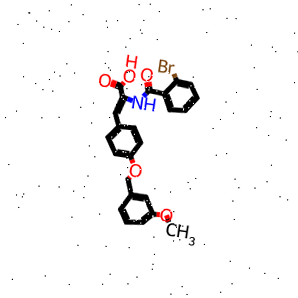 COc1cccc(COc2ccc(C=C(NC(=O)c3ccccc3Br)C(=O)O)cc2)c1